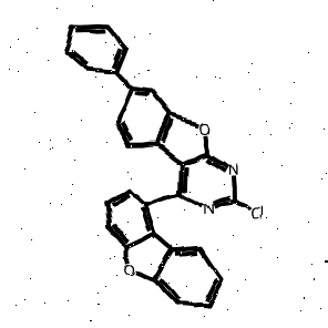 Clc1nc(-c2cccc3oc4ccccc4c23)c2c(n1)oc1cc(-c3ccccc3)ccc12